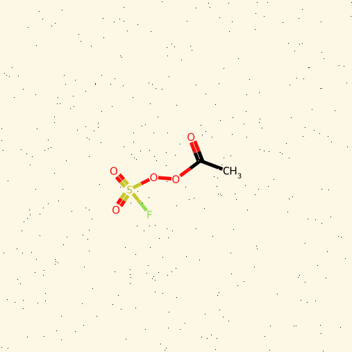 CC(=O)OOS(=O)(=O)F